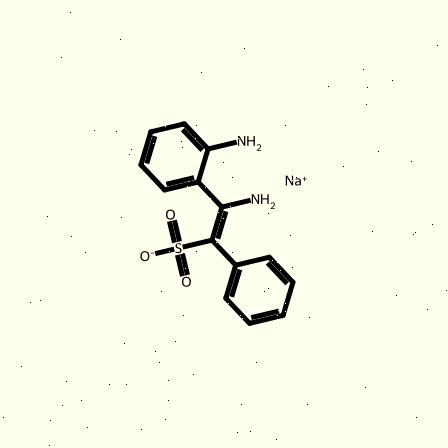 NC(=C(c1ccccc1)S(=O)(=O)[O-])c1ccccc1N.[Na+]